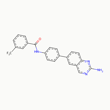 Nc1ncc2cc(-c3ccc(NC(=O)c4cccc(C(F)(F)F)c4)cc3)ccc2n1